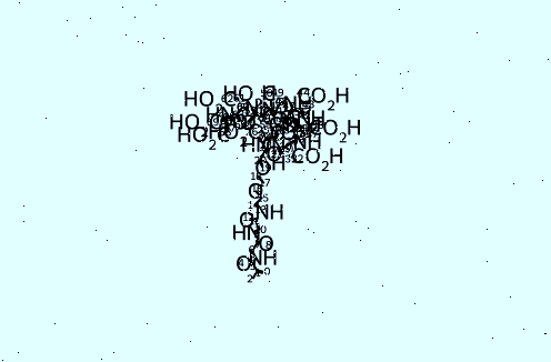 C=C(C)C(=O)NCC(=O)NCC(=O)NCCOCCOCC(=O)N[C@@H](CC(=O)O)C(=O)N[C@@H](CC(=O)O)C(=O)N[C@@H](CC(=O)O)C(=O)N[C@@H](CC(=O)O)C(=O)N[C@@H](CC(=O)O)C(=O)N[C@@H](CC(=O)O)C(=O)N[C@@H](CC(=O)O)C(=O)N[C@@H](CC(=O)O)C(=O)O